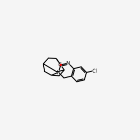 Clc1ccc2c(c1)N=C1C3CC4CC(C3)CC(C4)N1C2